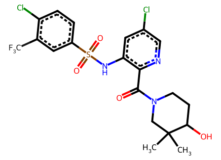 CC1(C)CN(C(=O)c2ncc(Cl)cc2NS(=O)(=O)c2ccc(Cl)c(C(F)(F)F)c2)CCC1O